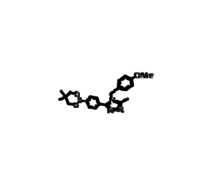 COc1ccc(Cn2c(C)nnc2-c2ccc(B3OCC(C)(C)CO3)cc2)cc1